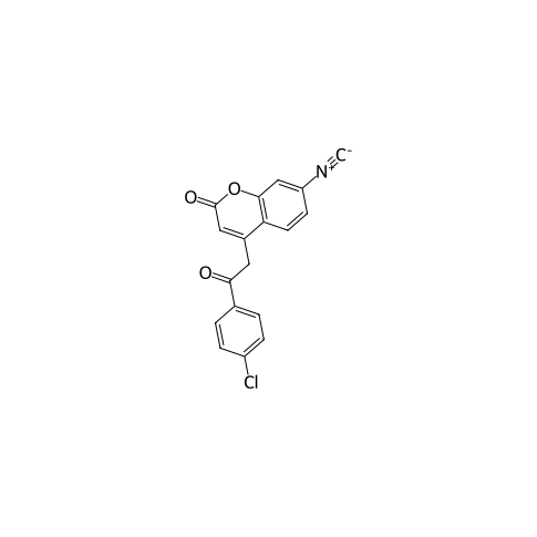 [C-]#[N+]c1ccc2c(CC(=O)c3ccc(Cl)cc3)cc(=O)oc2c1